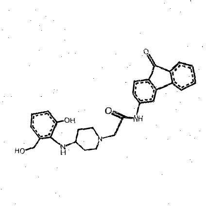 O=C(CN1CCC(Nc2c(O)cccc2CO)CC1)Nc1ccc2c(c1)-c1ccccc1C2=O